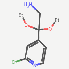 CCOC(CN)(OCC)c1ccnc(Cl)c1